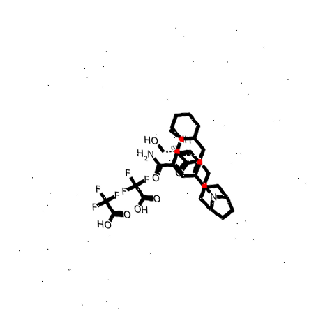 CN[C@@H](CO)C(=O)N(CCN1C2CCC1CC(c1cccc(C(N)=O)c1)C2)CC1CCCCC1.O=C(O)C(F)(F)F.O=C(O)C(F)(F)F